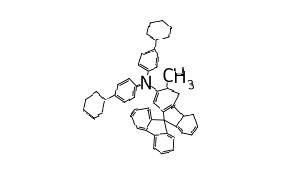 CC1CC2=C(C=C1N(c1ccc(C3CCCCC3)cc1)c1ccc(C3CCCCC3)cc1)C1(C3=CC=CCC32)c2ccccc2-c2ccccc21